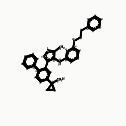 Cc1noc(-c2cc(C3(C(=O)O)CC3)ccc2-c2ccccc2)c1Nc1cccc(OCCc2ccccc2)n1